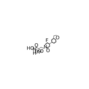 CS(=O)(=O)C(CCn1cc(F)c(-c2ccc3c(c2)CCO3)cc1=O)C(=O)NO